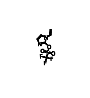 C=Cn1ccnc1OS(=O)(=O)C(F)(F)F